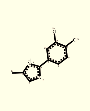 Cc1cnc(-c2ccc(Cl)c(Cl)c2)[nH]1